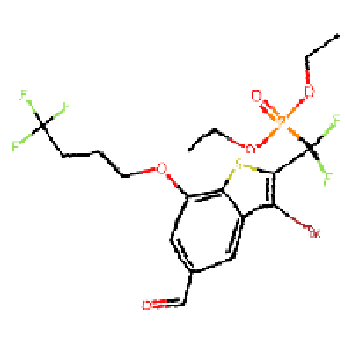 CCOP(=O)(OCC)C(F)(F)c1sc2c(OCCCC(F)(F)F)cc(C=O)cc2c1Br